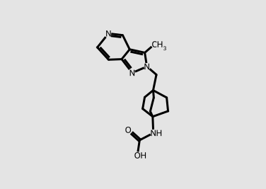 Cc1c2cnccc2nn1CC12CCC(NC(=O)O)(CC1)CC2